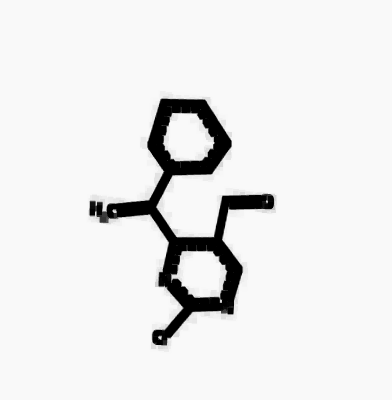 C=C(c1ccccc1)c1nc(Cl)ncc1C=O